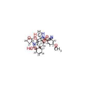 COc1ccc(S(=O)(=O)N[C@](C)([C@H](O)[C@H](Cc2ccccc2)N(C(=O)O)C2CCOC2)C2(CCC#N)CCCCC2)cc1